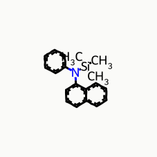 C[Si](C)(C)N(c1ccccc1)c1cccc2ccccc12